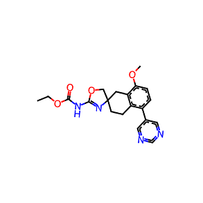 CCOC(=O)NC1=NC2(CCc3c(-c4cncnc4)ccc(OC)c3C2)CO1